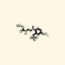 CN(CCNC(=O)OC(C)(C)C)c1ccc([N+](=O)[O-])cc1CS(C)(=O)=O